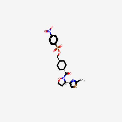 Cc1nc([C@@H]2CCON2C(=O)[C@H]2CC[C@H](COS(=O)(=O)c3ccc([N+](=O)[O-])cc3)CC2)cs1